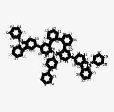 c1ccc(-c2ccc(-n3c4ccc(-c5ccc6c(c5)c5ccccc5n6-c5ccccc5)cc4c4ccccc4c4ccccc4c4cc(-c5ccc6c(c5)c5ccccc5n6-c5ccccc5)ccc43)cc2)cc1